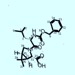 CC(C)C[C@H](NC(=O)OCc1ccccc1)C(=O)N1C[C@H]2[C@@H]([C@H]1C(=O)O)C2(C)C